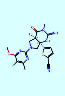 COc1nc(N2C[C@H]3C(=O)N(C)C(=N)N[C@@]3(c3ccc(C#N)s3)C2)nc(C)c1F